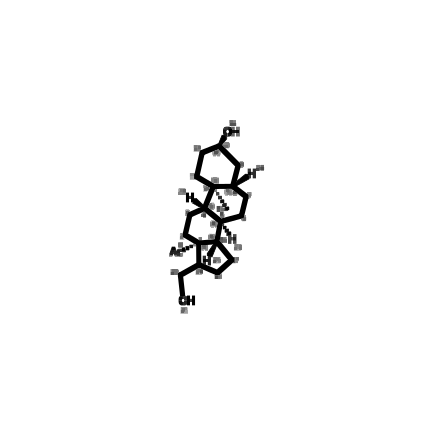 CC(=O)[C@]12CC[C@H]3[C@@H](CC[C@H]4C[C@H](O)CC[C@@]43C)[C@@H]1CCC2CO